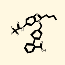 CCCCc1nc2ccc(NC(=O)C(F)(F)F)cc2n1Cc1ccc(-c2ccccc2C(=O)O)cc1